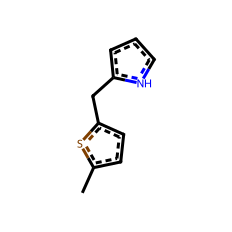 Cc1ccc(Cc2ccc[nH]2)s1